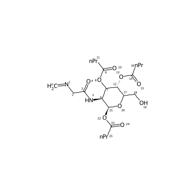 C=NCC(=O)N[C@H]1C(OC(=O)CCC)[C@H](OC(=O)CCC)C(CO)O[C@H]1OC(=O)CCC